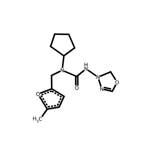 Cc1ccc(CN(C(=O)NN2COC=N2)C2CCCC2)o1